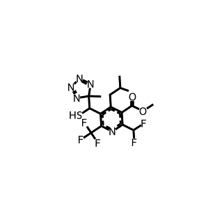 COC(=O)c1c(C(F)F)nc(C(F)(F)F)c(C(S)C2(C)N=NN=N2)c1CC(C)C